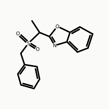 CC(c1nc2ccccc2o1)S(=O)(=O)Cc1ccccc1